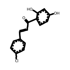 O=C(C=Cc1ccc(Cl)cc1)c1ccc(O)cc1O